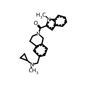 CN(Cc1ccc2c(c1)CCN(C(=O)c1cc3ccccc3n1C)C2)C1CC1